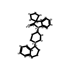 O=C1N(C2CCN(C3CCCc4ccccc43)CC2)c2ccccc2C12CCCC2